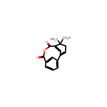 O=C1OC(=O)c2cccc(c2)C2=CCC(C(=O)O)(C(=O)O)C1=C2